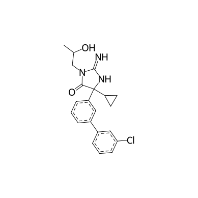 CC(O)CN1C(=N)NC(c2cccc(-c3cccc(Cl)c3)c2)(C2CC2)C1=O